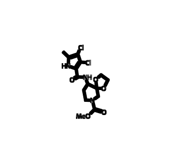 COC(=O)N1CCC(NC(=O)c2[nH]c(C)c(Cl)c2Cl)C2(C1)OCCO2